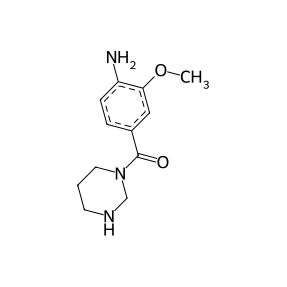 COc1cc(C(=O)N2CCCNC2)ccc1N